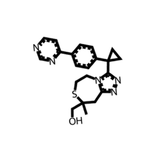 CC1(CO)Cc2nnc(C3(c4ccc(-c5ccncn5)cc4)CC3)n2CCS1